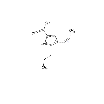 C/C=C\c1cc(C(=O)O)[nH]c1CCC